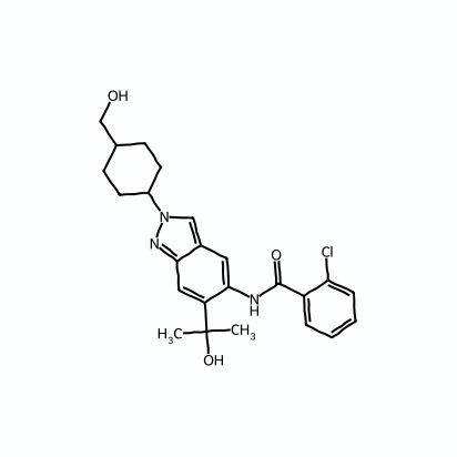 CC(C)(O)c1cc2nn(C3CCC(CO)CC3)cc2cc1NC(=O)c1ccccc1Cl